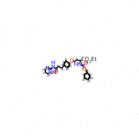 CCOC(=O)[C@H](CCOc1ccc(CCC(=O)NC2=NCCCN2)cc1)NC(=O)OCc1ccccc1